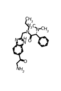 CCCN(Cc1nc2ccc(C(=O)CN)cc2[nH]1)C(=O)[C@@H](c1ccccc1)N(C)C